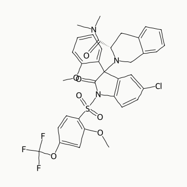 COc1ccccc1C1(N2Cc3ccccc3C[C@H]2C(=O)N(C)C)C(=O)N(S(=O)(=O)c2ccc(OC(F)(F)F)cc2OC)c2ccc(Cl)cc21